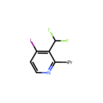 CC(C)c1nccc(I)c1C(F)F